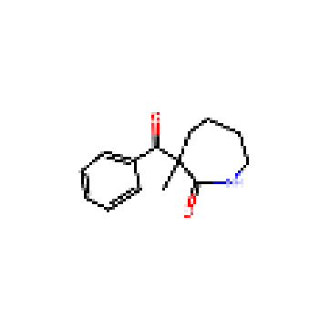 CC1(C(=O)c2ccccc2)CCCCNC1=O